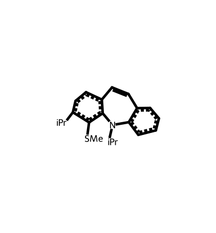 CSc1c(C(C)C)ccc2c1N(C(C)C)c1ccccc1C=C2